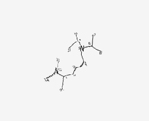 [CH2]C(CCCN(C(C)C)C(C)C)N(C)C